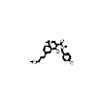 CN(Cc1ccc(Cl)cc1)C(=O)c1c[nH]c2ccc(CCCO)cc2c1=O